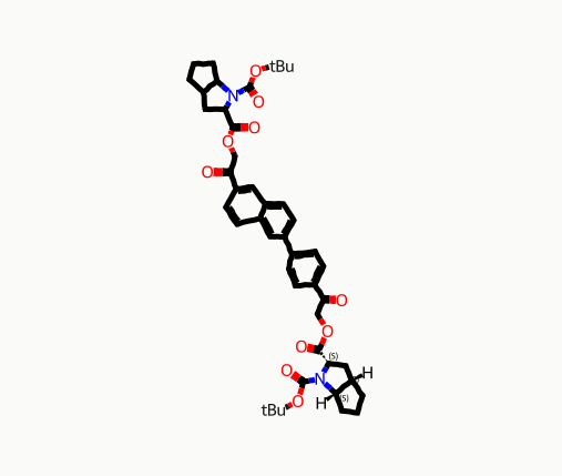 CC(C)(C)OC(=O)N1C(C(=O)OCC(=O)c2ccc3cc(-c4ccc(C(=O)COC(=O)[C@@H]5C[C@@H]6CCC[C@@H]6N5C(=O)OC(C)(C)C)cc4)ccc3c2)CC2CCCC21